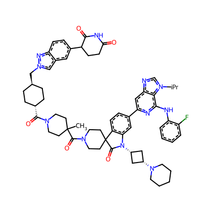 CC(C)n1cnc2cc(-c3ccc4c(c3)N([C@H]3C[C@@H](N5CCCCC5)C3)C(=O)C43CCN(C(=O)C4(C)CCN(C(=O)[C@H]5CC[C@H](Cn6cc7cc(C8CCC(=O)NC8=O)ccc7n6)CC5)CC4)CC3)nc(Nc3ccccc3F)c21